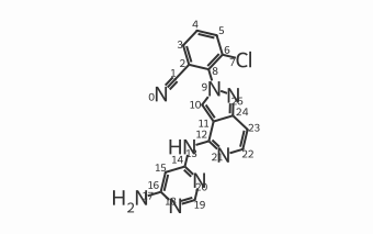 N#Cc1cccc(Cl)c1-n1cc2c(Nc3cc(N)ncn3)nccc2n1